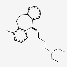 CCN(CC)CCC/N=C1/c2ccccc2CCc2c(C)cccc21